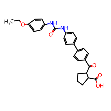 CCOc1ccc(NC(=O)Nc2ccc(-c3ccc(C(=O)C4CCCC4C(=O)O)cc3)cc2)cc1